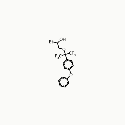 CCC(O)COC(c1ccc(Oc2ccccc2)cc1)(C(F)(F)F)C(F)(F)F